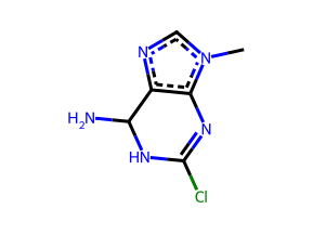 Cn1cnc2c1N=C(Cl)NC2N